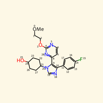 COCCOc1nccc(-c2c(-c3ccc(F)cc3)ncn2C2CCC(O)CC2)n1